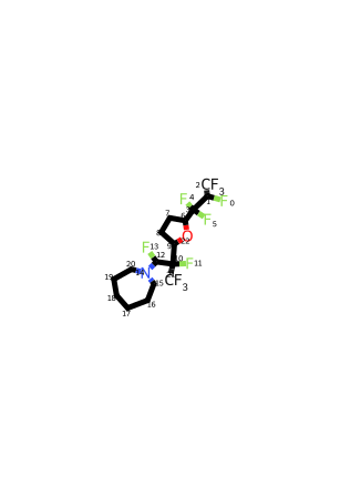 FC(C(F)(F)F)C(F)(F)C1CCC(C(F)(C(F)N2CCCCCC2)C(F)(F)F)O1